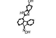 O/N=C1\c2ccccc2-c2c1cccc2-c1nc2ccc(O)cc2[nH]1